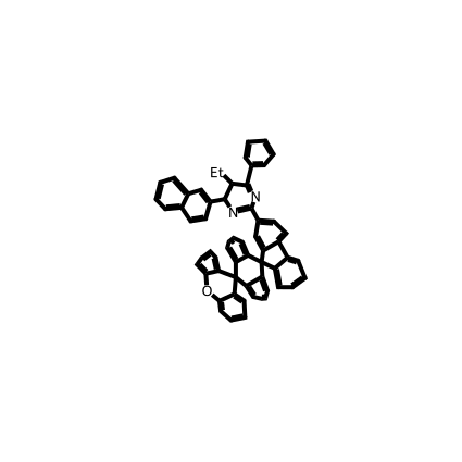 CCC1C(c2ccccc2)=NC(c2ccc3c(c2)C2(c4ccccc4-3)c3ccccc3C3(c4ccccc4Oc4ccccc43)c3ccccc32)=NC1c1ccc2ccccc2c1